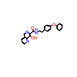 O=C(NCCc1ccc(Oc2ccccc2)cc1)c1ncc2cccnc2c1O